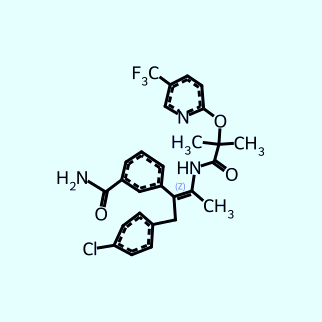 C/C(NC(=O)C(C)(C)Oc1ccc(C(F)(F)F)cn1)=C(\Cc1ccc(Cl)cc1)c1cccc(C(N)=O)c1